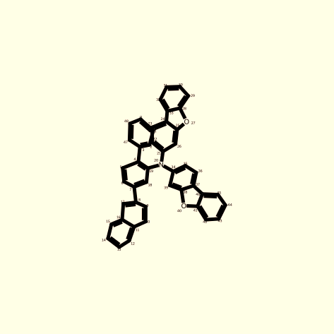 c1ccc(-c2ccc(-c3ccc4ccccc4c3)cc2N(c2ccc3c(c2)oc2ccccc23)c2ccc3c(c2)oc2ccccc23)cc1